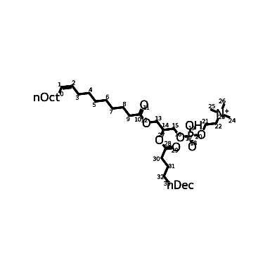 CCCCCCCC/C=C\CCCCCCCC(=O)OCC(COP(=O)(O)OCC[N+](C)(C)C)OC(=O)CCCCCCCCCCCCC